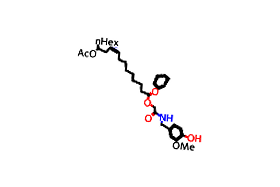 CCCCCCC(C/C=C\CCCCCCCC(=O)OCC(=O)NCc1ccc(O)c(OC)c1)OC(C)=O.c1ccccc1